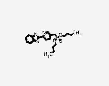 CCCCOP(=O)(Cc1ccc(-c2nc3ccccc3s2)nc1)OCCCC